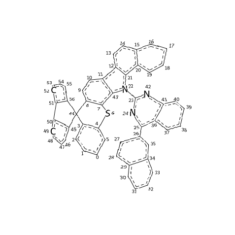 c1ccc2c(c1)Sc1c(ccc3c4ccc5ccccc5c4n(-c4nc(-c5ccc6ccccc6c5)c5ccccc5n4)c13)C21c2ccccc2-c2ccccc21